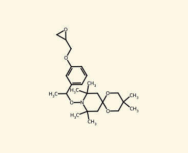 CC(ON1C(C)(C)CC2(CC1(C)C)OCC(C)(C)CO2)c1cccc(OCC2CO2)c1